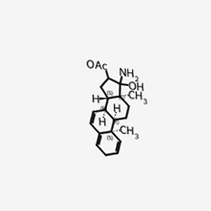 CC(=O)OC1C[C@H]2[C@@H]3C=CC4=CCC=C[C@]4(C)[C@@H]3CC[C@]2(C)C1(N)O